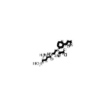 CC(C)[C@@H](CN(C(=O)C(Cl)Cl)c1cccc(-c2ccno2)c1)NC(=O)[C@@H](N)CCC(=O)O